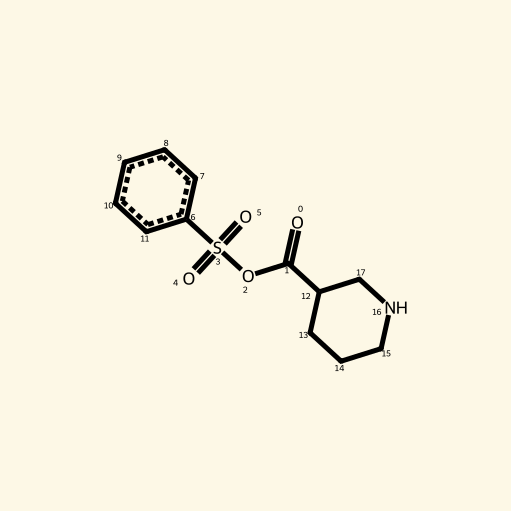 O=C(OS(=O)(=O)c1ccccc1)C1CCCNC1